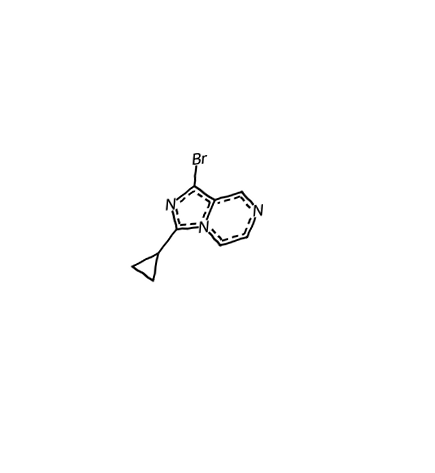 Brc1nc(C2CC2)n2ccncc12